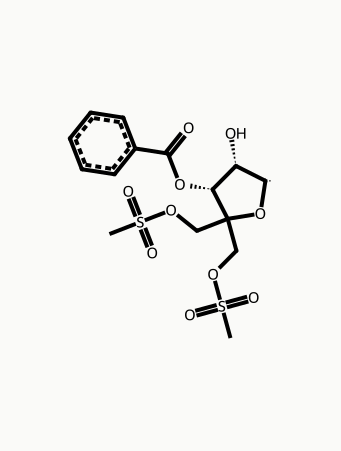 CS(=O)(=O)OCC1(COS(C)(=O)=O)O[CH][C@@H](O)[C@H]1OC(=O)c1ccccc1